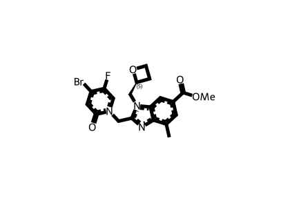 COC(=O)c1cc(C)c2nc(Cn3cc(F)c(Br)cc3=O)n(C[C@@H]3CCO3)c2c1